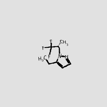 CCc1ccnn1[C@@H](C)C(F)(F)F